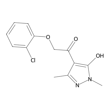 Cc1nn(C)c(O)c1C(=O)COc1ccccc1Cl